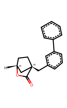 O=C1O[C@@H]2CC[C@@]1(Cc1cccc(-c3ccccc3)c1)C2